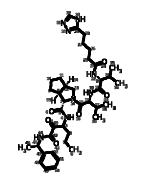 CCCC(NC(=O)[C@@H]1[C@H]2CCC[C@H]2CN1C(=O)[C@@H](NC(=O)[C@H](NC(=O)CCCCc1nnc[nH]1)C(C)C)C(C)C)C(=O)C(=O)N[C@H](C)c1ccccc1